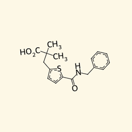 CC(C)(Cc1ccc(C(=O)NCc2ccccc2)s1)C(=O)O